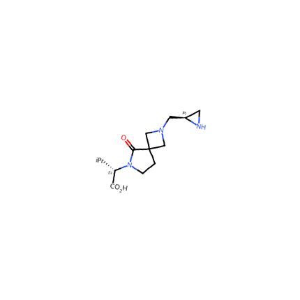 CC(C)[C@@H](C(=O)O)N1CCC2(CN(C[C@H]3CN3)C2)C1=O